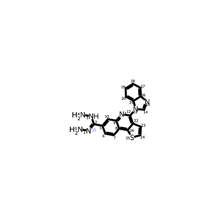 N/N=C(\NN)c1ccc2c(c1)nc(-n1cnc3ccccc31)c1ccsc12